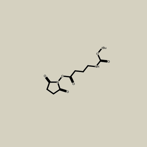 CC(C)(C)OC(=O)NCCCC(=O)ON1C(=O)CCC1=O